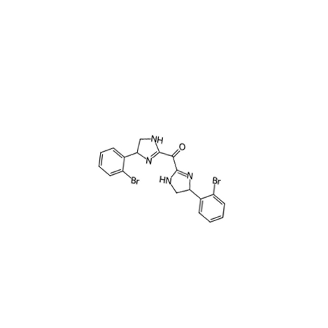 O=C(C1=NC(c2ccccc2Br)CN1)C1=NC(c2ccccc2Br)CN1